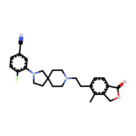 Cc1c(CCN2CCC3(CC2)CCN(c2cc(C#N)ccc2F)C3)ccc2c1COC2=O